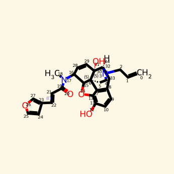 C=CCN1CC[C@]23c4c5ccc(O)c4OC2C(N(C)C(=O)/C=C/c2ccoc2)C=C[C@@]3(O)[C@H]1C5